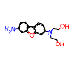 Nc1ccc2c(c1)oc1cc(N(CCO)CCO)ccc12